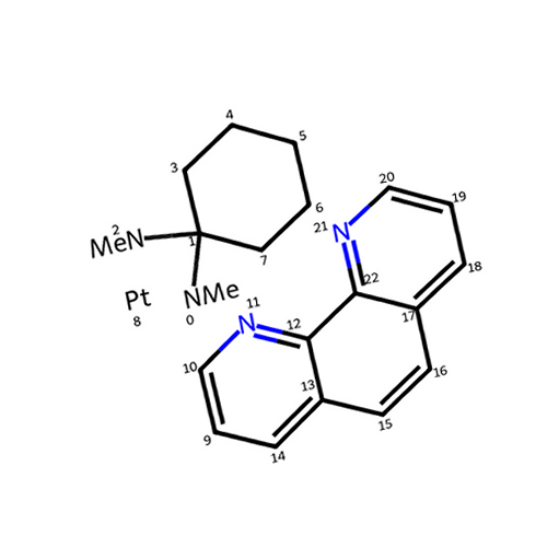 CNC1(NC)CCCCC1.[Pt].c1cnc2c(c1)ccc1cccnc12